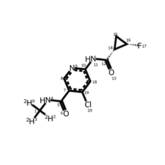 [2H]C([2H])([2H])NC(=O)c1cnc(NC(=O)[C@@H]2C[C@@H]2F)cc1Cl